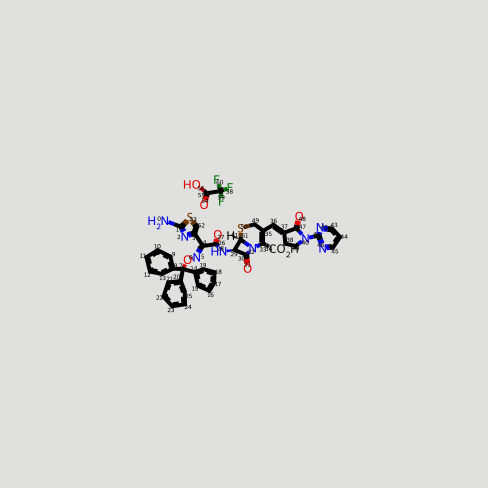 Nc1nc(C(=NOC(c2ccccc2)(c2ccccc2)c2ccccc2)C(=O)N[C@@H]2C(=O)N3C(C(=O)O)=C(C=C4CCN(c5ncccn5)C4=O)CS[C@H]23)cs1.O=C(O)C(F)(F)F